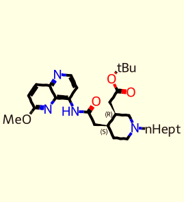 CCCCCCCN1CC[C@@H](CC(=O)Nc2ccnc3ccc(OC)nc23)[C@@H](CC(=O)OC(C)(C)C)C1